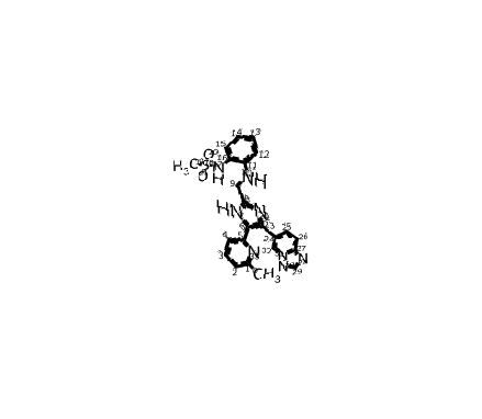 Cc1cccc(-c2[nH]c(CNc3ccccc3NS(C)(=O)=O)nc2-c2ccc3ncnn3c2)n1